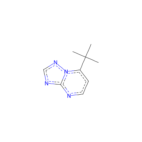 CC(C)(C)c1ccnc2ncnn12